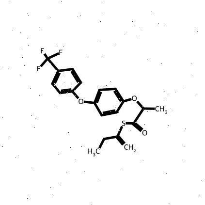 C=C(CC)SC(=O)C(C)Oc1ccc(Oc2ccc(C(F)(F)F)cc2)cc1